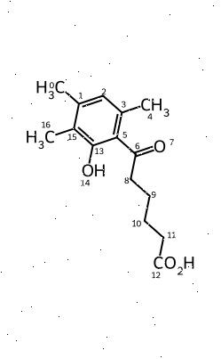 Cc1cc(C)c(C(=O)CCCCC(=O)O)c(O)c1C